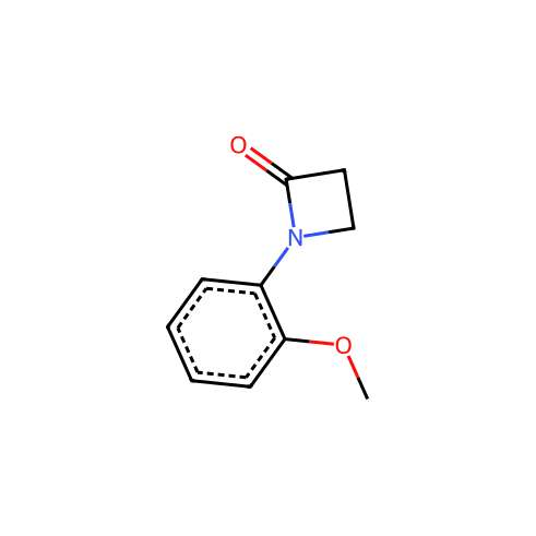 COc1ccccc1N1CCC1=O